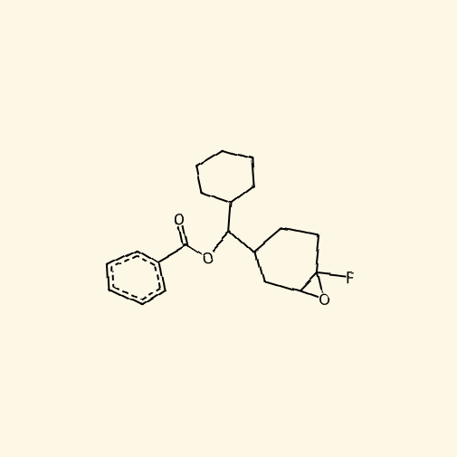 O=C(OC(C1CCCCC1)C1CCC2(F)OC2C1)c1ccccc1